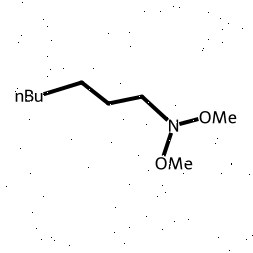 CCCCCCCN(OC)OC